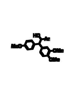 COc1ccc(C(c2ccc(OC)c(OC)c2)C(O)C(C)=O)cc1